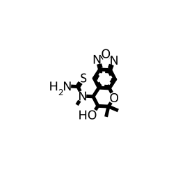 CN(C(N)=S)C1c2cc3nonc3cc2OC(C)(C)C1O